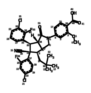 COc1cc(N2CN3[C@@H](CC(C)(C)C)[C@](C#N)(c4ccc(Cl)cc4F)[C@@H](c4cccc(Cl)c4F)[C@@H]3C2=O)ccc1C(=O)O